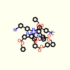 [C-]#[N+]c1ccc(-c2cccc(-c3nc(-c4ccc(-c5cccc(C#N)c5)cc4-n4c5ccc(C(=O)OCc6ccccc6)cc5c5cc(C(=O)OCc6ccccc6)ccc54)nc(-c4ccc(-c5cccc(C(=O)OCc6ccccc6)c5)cc4-n4c5ccc(C(=O)OCc6ccccc6)cc5c5cc(C(=O)OCc6ccccc6)ccc54)n3)c2)cc1